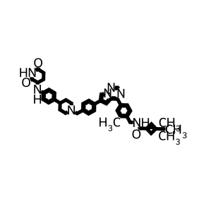 Cc1cc(-c2ncnn3cc(-c4ccc(CN5CCC(c6ccc(NC7CCC(=O)NC7=O)cc6)CC5)cc4)cc23)ccc1CNC(=O)C12CC(C(C)(C)C)(C1)C2